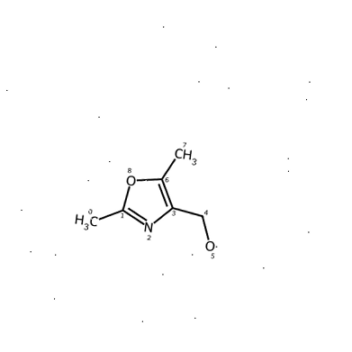 Cc1nc(C[O])c(C)o1